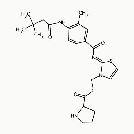 Cc1cc(C(=O)/N=c2\sccn2COC(=O)C2CCCN2)ccc1NC(=O)CC(C)(C)C